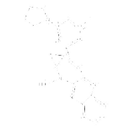 CN(c1nc2ccccc2nc1/C=C/c1nc(Cl)cc(N2CCCC2)n1)C1CC1